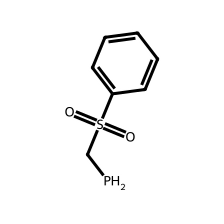 O=S(=O)(CP)c1ccccc1